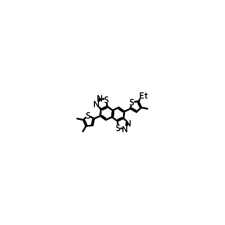 CCc1sc(-c2cc3c(cc(-c4cc(C)c(C)s4)c4nnsc43)c3snnc23)cc1C